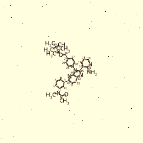 CC(=O)N(C)c1cccc(-c2ccc3nc(-c4cccnc4N)n(-c4ccc(CO[Si](C)(C)C(C)(C)C)cc4)c3n2)c1